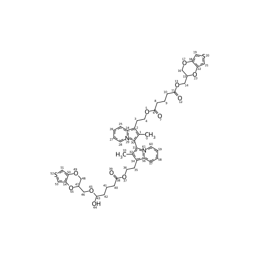 Cc1c(CCOC(=O)CCCC(=O)OCC2COc3cscc3O2)c2ccccn2c1-c1c(C)c(CCOC(=O)CCCC(O)OCC2COc3cscc3O2)c2ccccn12